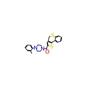 Cc1ccccc1N1CCN(C(=O)c2cc3c(s2)-c2ccccc2SC3)CC1